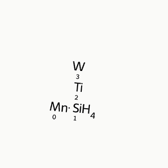 [Mn].[SiH4].[Ti].[W]